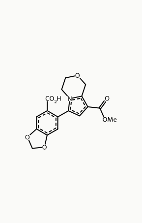 COC(=O)c1cc(-c2cc3c(cc2C(=O)O)OCO3)n2c1COCC2